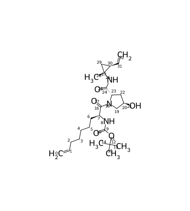 C=CCCCCC[C@H](NC(=O)OC(C)(C)C)C(=O)N1C[C@H](O)C[C@H]1C(=O)N[C@]1(C)C[C@H]1C=C